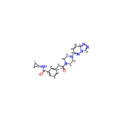 O=C(NC1CC1)c1cccc(CC(=O)N2CCN(c3ccc4nncn4n3)CC2)c1